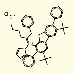 CCCC[C](Cc1ccccc1)=[Zr+2]([c]1c2c(cc(C(C)(C)C)c1-c1ccccc1)-c1cc(C(C)(C)C)c(-c3ccccc3)cc1C2)[CH]1C=CC=C1.[Cl-].[Cl-]